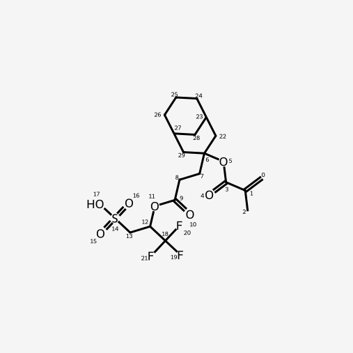 C=C(C)C(=O)OC1(CCC(=O)OC(CS(=O)(=O)O)C(F)(F)F)CC2CCCC(C2)C1